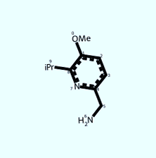 COc1ccc(CN)nc1C(C)C